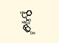 O=C(N[C@H]1C2CC3CC1C[C@](O)(C3)C2)N1CCNc2ccccc21